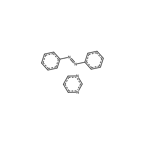 c1ccc(/N=N/c2ccccc2)cc1.c1cncnc1